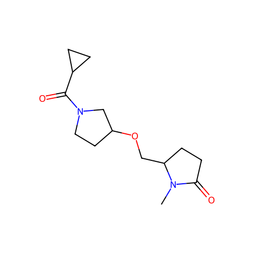 CN1C(=O)CCC1COC1CCN(C(=O)C2CC2)C1